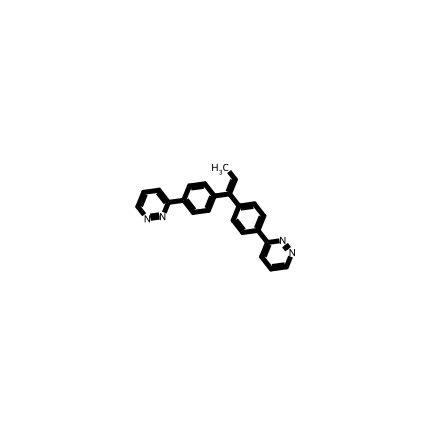 CC=C(c1ccc(-c2cccnn2)cc1)c1ccc(-c2cccnn2)cc1